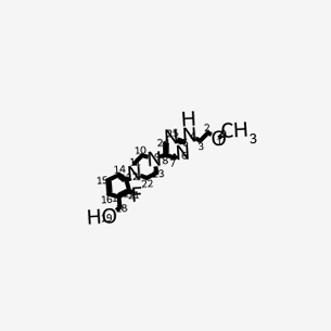 COCCNc1ncc(N2CCN(c3cccc(CO)c3F)CC2)cn1